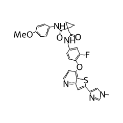 COc1ccc(NC(=O)C2(C(=O)Nc3ccc(Oc4ccnc5cc(-c6cn(C)cn6)sc45)c(F)c3)CC2)cc1